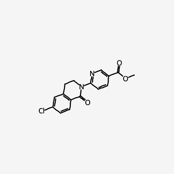 COC(=O)c1ccc(N2CCc3cc(Cl)ccc3C2=O)nc1